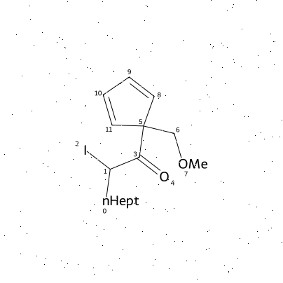 CCCCCCCC(I)C(=O)C1(COC)C=CC=C1